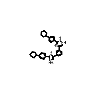 NN1C=C(c2cccc(C3=CNNC(c4ccc(C5CCCCC5)cc4)N3)c2)NC1c1ccc(C2CCCCC2)cc1